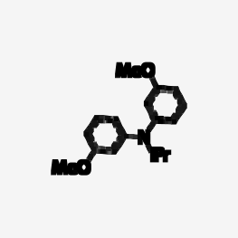 COc1cccc(N(c2cccc(OC)c2)C(C)C)c1